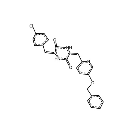 O=c1[nH]c(=Cc2ccc(OCc3ccccc3)cn2)c(=O)[nH]c1=Cc1ccc(Cl)cc1